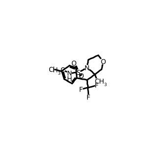 CNS(=O)(=O)N1CCOCC1(C)C(c1ccc(Cl)cc1)C(F)(F)F